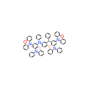 c1ccc(C2c3cc4c(cc3B3c5ccccc5N(c5ccccc5)c5cc(N6c7ccccc7Oc7ccccc76)cc2c53)B2c3ccccc3N(c3ccccc3)c3cc(N5c6ccccc6Oc6ccccc65)cc(c32)N4c2ccccc2)cc1